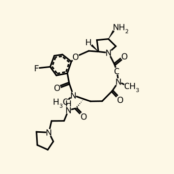 CN1CC(=O)N2C[C@H](N)C[C@H]2COc2ccc(F)cc2C(=O)N(C)[C@@H](C(=O)NCCN2CCCC2)CCC1=O